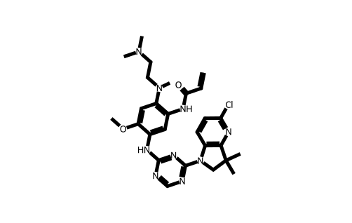 C=CC(=O)Nc1cc(Nc2ncnc(N3CC(C)(C)c4nc(Cl)ccc43)n2)c(OC)cc1N(C)CCN(C)C